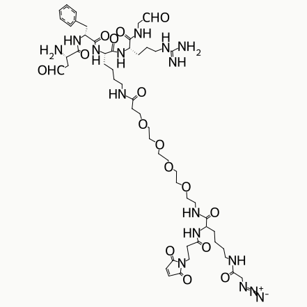 [N-]=[N+]=NCC(=O)NCCCCC(NC(=O)CCN1C(=O)C=CC1=O)C(=O)NCCOCCOCCOCCOCCC(=O)NCCCC[C@H](NC(=O)[C@@H](Cc1ccccc1)NC(=O)[C@@H](N)CC=O)C(=O)N[C@@H](CCCNC(=N)N)C(=O)NCC=O